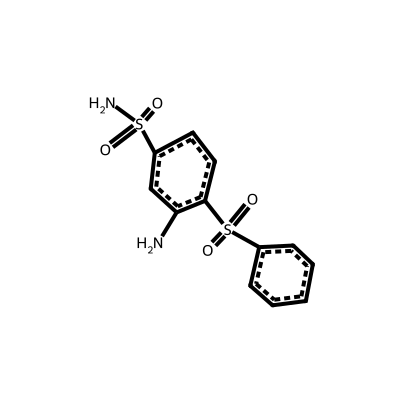 Nc1cc(S(N)(=O)=O)ccc1S(=O)(=O)c1ccccc1